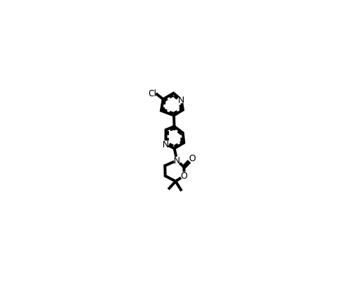 CC1(C)CCN(c2ccc(-c3cncc(Cl)c3)cn2)C(=O)O1